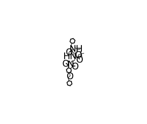 CC(C)C[C@H](N[C@H](CCN1C(=O)c2ccc(OCc3ccccc3)cc2C1=O)C(=O)OC(C)(C)C)C(=O)NCc1ccccc1